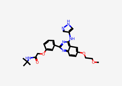 COCCOc1ccc2nc(-c3cccc(OCC(=O)NC(C)(C)C)c3)nc(Nc3cn[nH]c3)c2c1